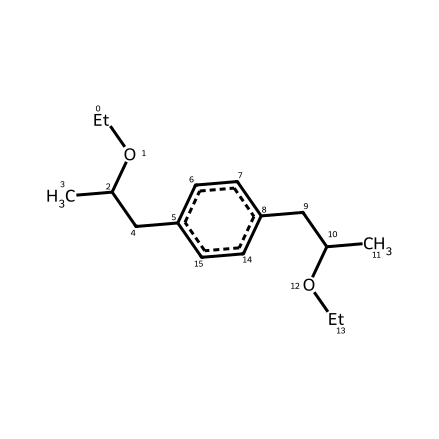 CCOC(C)Cc1ccc(CC(C)OCC)cc1